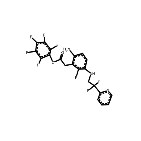 Nc1ccc(NCC(F)(F)c2ccccn2)c(F)c1CC(=O)Oc1c(F)c(F)c(F)c(F)c1F